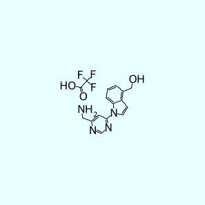 NCc1cc(-n2ccc3c(CO)cccc32)ncn1.O=C(O)C(F)(F)F